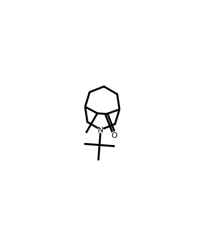 CC1C(=O)C2CCCC1CN(C(C)(C)C)C2